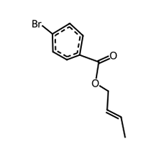 CC=CCOC(=O)c1ccc(Br)cc1